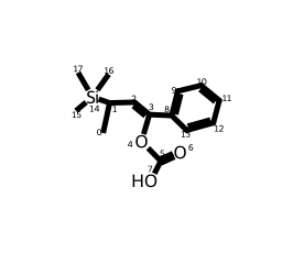 CC(C=C(OC(=O)O)c1ccccc1)[Si](C)(C)C